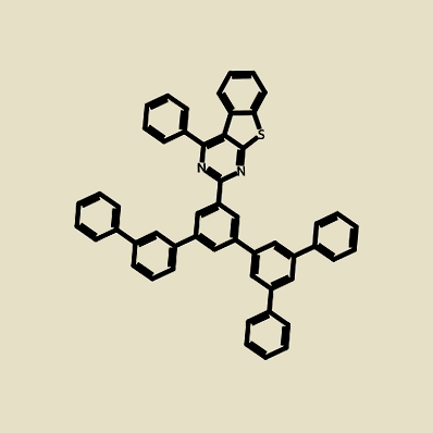 c1ccc(-c2cccc(-c3cc(-c4cc(-c5ccccc5)cc(-c5ccccc5)c4)cc(-c4nc(-c5ccccc5)c5c(n4)sc4ccccc45)c3)c2)cc1